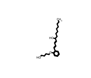 CCCCCCCCC(O)C=CC=Cc1ccccc1OCCCCO